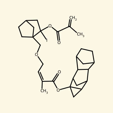 C=C(C)C(=O)OC1(I)CC2CCC1(COC/C=C(/C)C(=O)OC13CC1C1CC3C3C4CCC(C4)C13)C2